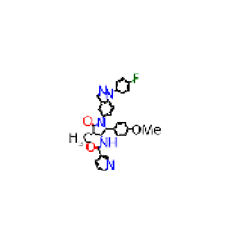 COc1ccc(C2[C@@H](NC(=O)c3cccnc3)[C@H](C)C(=O)N2c2ccc3c(cnn3-c3ccc(F)cc3)c2)cc1